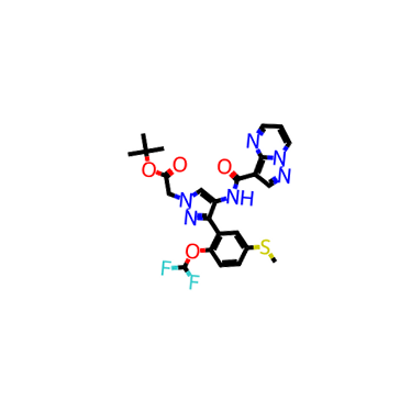 CSc1ccc(OC(F)F)c(-c2nn(CC(=O)OC(C)(C)C)cc2NC(=O)c2cnn3cccnc23)c1